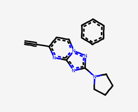 C#Cc1ccn2nc(N3CCCC3)nc2n1.c1ccccc1